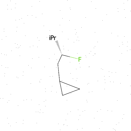 CC(C)[C@H](F)CC1CC1